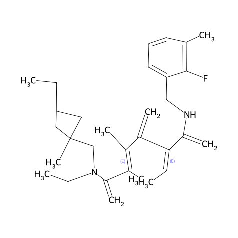 C=C(NCc1cccc(C)c1F)/C(=C/C)C(=C)/C(C)=C(\C)C(=C)N(CC)CC1(C)CC(CC)C1